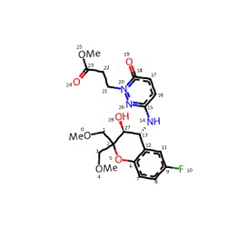 COCC1(COC)Oc2ccc(F)cc2[C@@H](Nc2ccc(=O)n(CCC(=O)OC)n2)[C@@H]1O